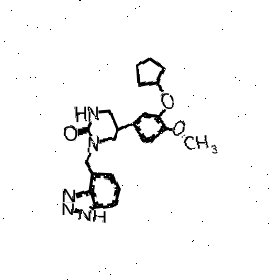 COc1ccc(C2CNC(=O)N(Cc3cccc4[nH]nnc34)C2)cc1OC1CCCC1